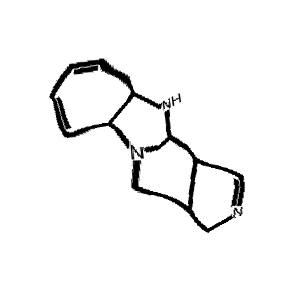 C1=CC2NC3C4C=NCC4CN3C2C=C1